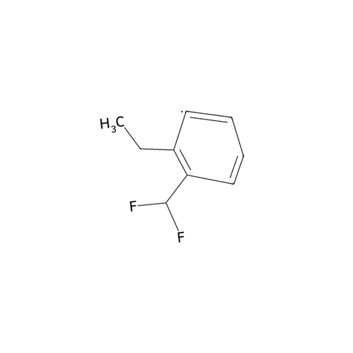 CCc1[c]cccc1C(F)F